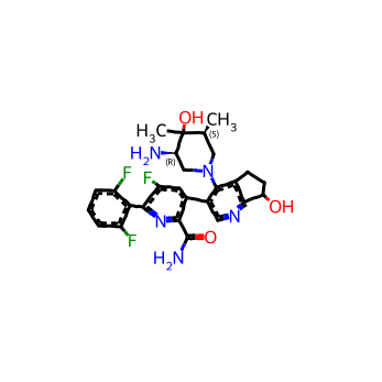 C[C@H]1CN(c2c(-c3cc(F)c(-c4c(F)cccc4F)nc3C(N)=O)cnc3c2CCC3O)C[C@@H](N)C1(C)O